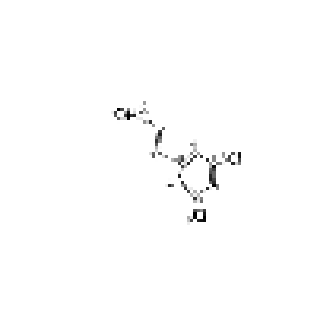 O=[C]C=Cc1cc(Cl)cc(Cl)c1